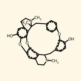 CN1CCc2cc3c4cc2C1Cc1ccc(O)c(c1)Oc1ccc(cc1)CC1(C)c2c(cc(O)c(c2O4)O3)CCN1C